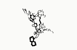 CCCCCOC(=O)[C@H](CC(C)C)NP(=O)(OC[C@@H]1CC[C@H](n2cnc3c(N)nc(OC)nc32)O1)Oc1cccc2ccccc12